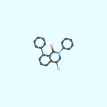 O=c1c2c(-c3ccccc3)cccc2c(Cl)cn1-c1ccccc1